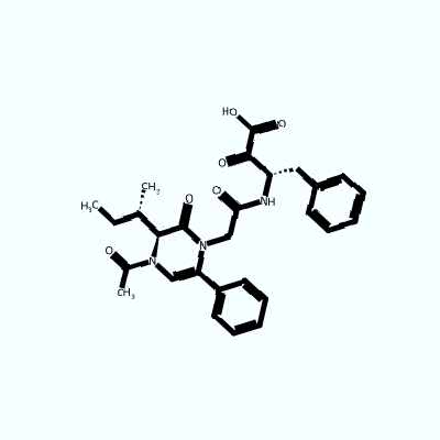 CC[C@H](C)[C@H]1C(=O)N(CC(=O)N[C@@H](Cc2ccccc2)C(=O)C(=O)O)C(c2ccccc2)=CN1C(C)=O